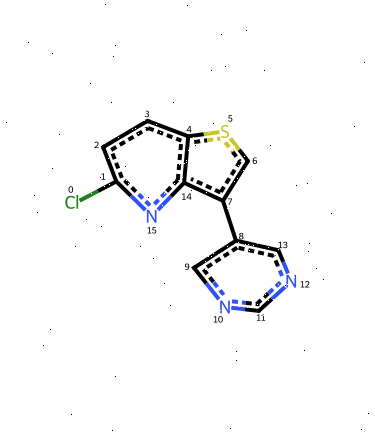 Clc1ccc2scc(-c3cncnc3)c2n1